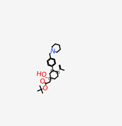 C=C(C)[C@@H]1CC[C@@](CO)(CC(=O)OC(C)(C)C)C[C@H]1c1ccc(CN2CCCCC2)cc1